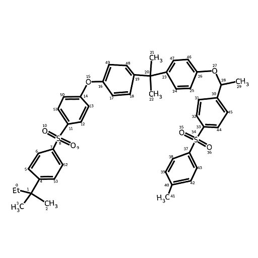 CCC(C)(C)c1ccc(S(=O)(=O)c2ccc(Oc3ccc(C(C)(C)c4ccc(OC(C)c5ccc(S(=O)(=O)c6ccc(C)cc6)cc5)cc4)cc3)cc2)cc1